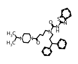 CC(C)N1CCN(C(=O)CCCN(CCC(c2ccccc2)c2ccccc2)C(=O)Nc2nc3ccccc3s2)CC1